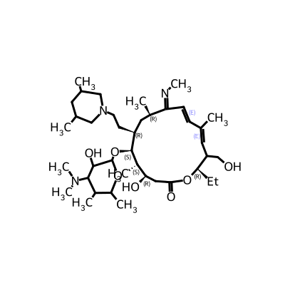 CC[C@H]1OC(=O)C[C@@H](O)[C@H](C)[C@@H](OC2OC(C)C(C)C(N(C)C)C2O)[C@@H](CCN2CC(C)CC(C)C2)C[C@@H](C)C(=NC)/C=C/C(C)=C/C1CO